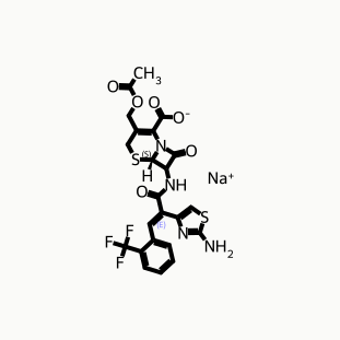 CC(=O)OCC1=C(C(=O)[O-])N2C(=O)C(NC(=O)/C(=C/c3ccccc3C(F)(F)F)c3csc(N)n3)[C@@H]2SC1.[Na+]